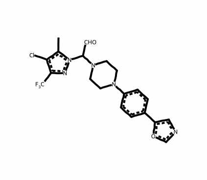 Cc1c(Cl)c(C(F)(F)F)nn1C(C=O)N1CCN(c2ccc(-c3cnco3)cc2)CC1